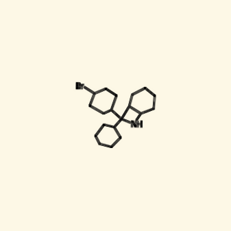 BrC1CCC(C2(C3CCCCC3)NC3CCCCC32)CC1